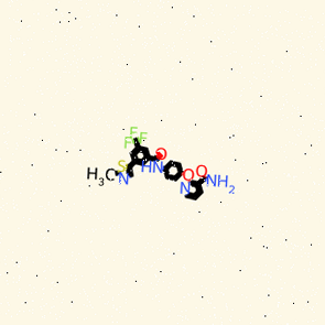 Cc1ncc(-c2cc(C(=O)NC3CCC(Oc4ncccc4C(N)=O)CC3)cc(C(F)(F)F)c2)s1